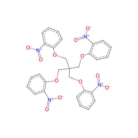 O=[N+]([O-])c1ccccc1OCC(COc1ccccc1[N+](=O)[O-])(COc1ccccc1[N+](=O)[O-])COc1ccccc1[N+](=O)[O-]